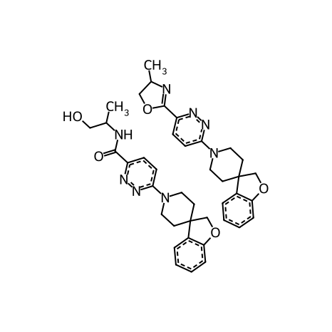 CC(CO)NC(=O)c1ccc(N2CCC3(CC2)COc2ccccc23)nn1.CC1COC(c2ccc(N3CCC4(CC3)COc3ccccc34)nn2)=N1